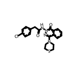 O=C(Cc1ccc(Cl)cc1)Nn1nc(N2CCSCC2)c2ccccc2c1=O